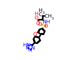 CC(C)[C@H](NS(=O)(=O)c1ccc2c(c1)oc1cc(-c3nnn[nH]3)ccc12)C(=O)O